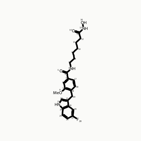 COc1cc(C(=O)NCCCCCCC(=O)NO)ccc1Cc1c[nH]c2ccc(F)cc12